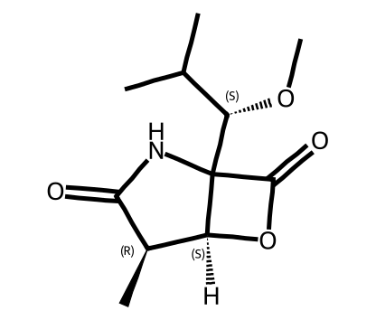 CO[C@@H](C(C)C)C12NC(=O)[C@H](C)[C@@H]1OC2=O